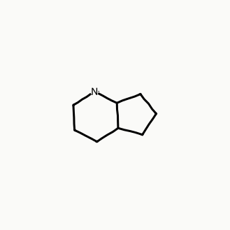 C1C[N]C2CCCC2C1